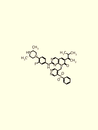 C=C(c1cc2cnc(Nc3ccc(N4C[C@@H](C)N[C@@H](C)C4)c(F)c3)nc2n(Cc2cnncc2S(=O)(=O)c2ccccc2)c1=O)C(C)C